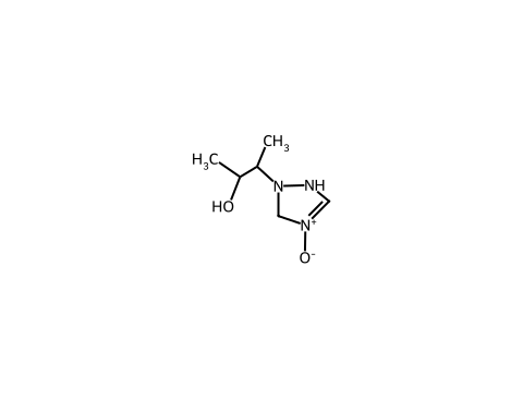 CC(O)C(C)N1C[N+]([O-])=CN1